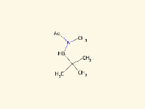 CC(=O)N(C)BC(C)(C)C